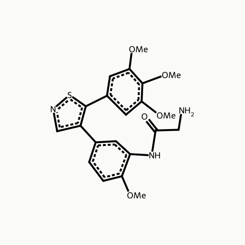 COc1ccc(-c2cnsc2-c2cc(OC)c(OC)c(OC)c2)cc1NC(=O)CN